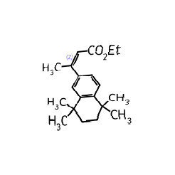 CCOC(=O)/C=C(/C)c1ccc2c(c1)C(C)(C)CCC2(C)C